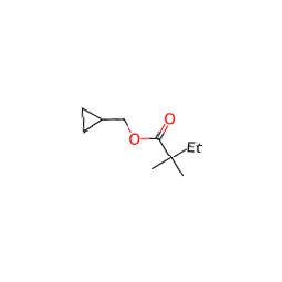 CCC(C)(C)C(=O)OCC1CC1